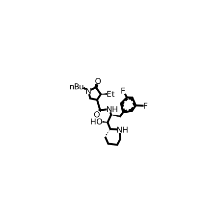 CCCCN1CC(C(=O)N[C@@H](Cc2cc(F)cc(F)c2)[C@H](O)[C@H]2CCCCN2)[C@H](CC)C1=O